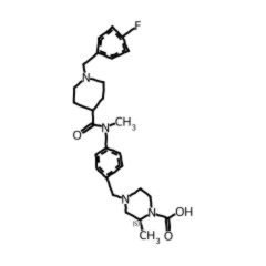 C[C@H]1CN(Cc2ccc(N(C)C(=O)C3CCN(Cc4ccc(F)cc4)CC3)cc2)CCN1C(=O)O